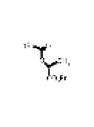 CCOC(=O)[C@H](C)OC(=O)C(C)(C)C